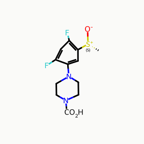 C[S@@+]([O-])c1cc(N2CCN(C(=O)O)CC2)c(F)cc1F